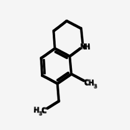 CCc1ccc2c(c1C)NCCC2